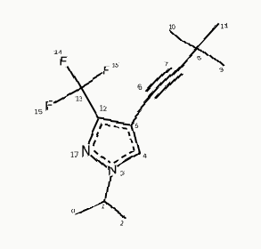 CC(C)n1cc(C#CC(C)(C)C)c(C(F)(F)F)n1